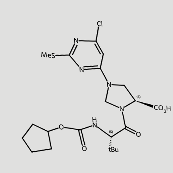 CSc1nc(Cl)cc(N2C[C@@H](C(=O)O)N(C(=O)[C@@H](NC(=O)OC3CCCC3)C(C)(C)C)C2)n1